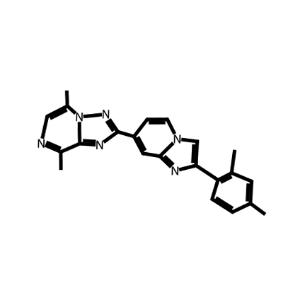 Cc1ccc(-c2cn3ccc(-c4nc5c(C)ncc(C)n5n4)cc3n2)c(C)c1